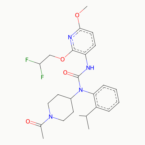 COc1ccc(NC(=O)N(c2ccccc2C(C)C)C2CCN(C(C)=O)CC2)c(OCC(F)F)n1